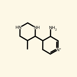 CC1CNCNC1C1CC=[N+]=CC1N